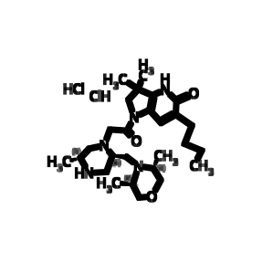 CCCCc1cc2c([nH]c1=O)C(C)(C)CN2C(=O)CN1C[C@@H](C)NC[C@@H]1CN1[C@H](C)COC[C@H]1C.Cl.Cl